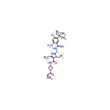 C=CC(=O)N1CC(NC(=O)c2c(C)nc(CNC(=N)c3cc(C(C)(C)C)c(Cl)cc3N)n2CC(F)(F)F)C1